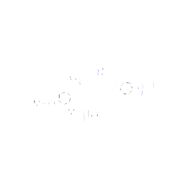 COc1cc2c(cc1OC)CC(=O)N(CCCN(C)CCOc1ccc(N(C)C)cc1)CC2.Cl.Cl